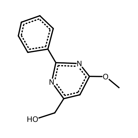 COc1cc(CO)nc(-c2ccccc2)n1